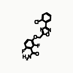 NC(=O)c1c(F)ccc(OCc2nc(-c3ccccc3Cl)no2)c1F